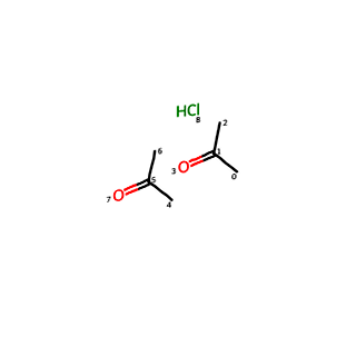 CC(C)=O.CC(C)=O.Cl